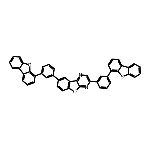 c1cc(-c2ccc3oc4nc(-c5cccc(-c6cccc7c6sc6ccccc67)c5)cnc4c3c2)cc(-c2cccc3c2oc2ccccc23)c1